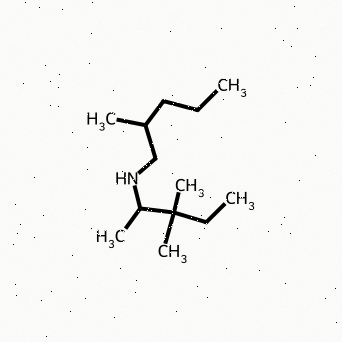 CCCC(C)CNC(C)C(C)(C)CC